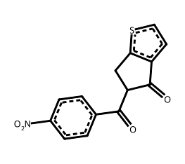 O=C(c1ccc([N+](=O)[O-])cc1)C1Cc2sccc2C1=O